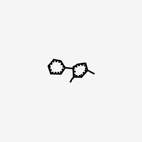 Cc1[c]c(C)c(-c2ccccc2)cc1